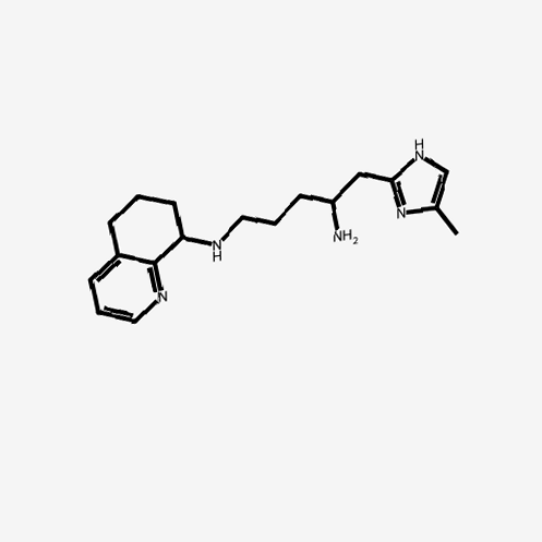 Cc1c[nH]c(CC(N)CCCNC2CCCc3cccnc32)n1